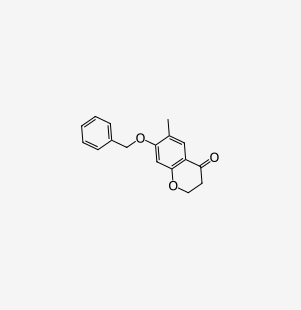 Cc1cc2c(cc1OCc1ccccc1)OCCC2=O